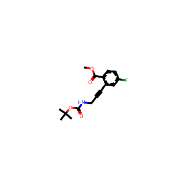 COC(=O)c1ccc(F)cc1C#CCNC(=O)OC(C)(C)C